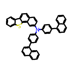 c1ccc2c(-c3ccc(N(c4ccc(-c5cccc6ccccc56)cc4)c4ccc5ccc6c7ccccc7sc6c5c4)cc3)cccc2c1